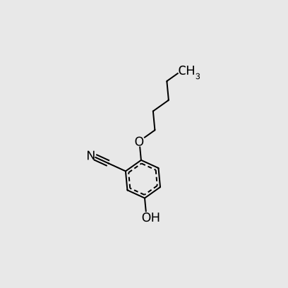 CCCCCOc1ccc(O)cc1C#N